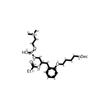 CCCCCCCCCCCCCCOc1ccccc1CC(COP(O)OCCN(C)C)OC(=O)CC